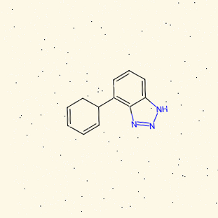 C1=CCC(c2cccc3[nH]nnc23)C=C1